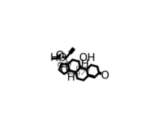 C#CC(O)[C@]12CC(O)[C@H]3[C@@H](CCC4=CC(=O)CC[C@@]43C)[C@@H]1CC[C@@H]2C(C)=O